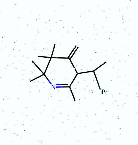 C=C1C(C(C)C(C)C)C(C)=NC(C)(C)C1(C)C